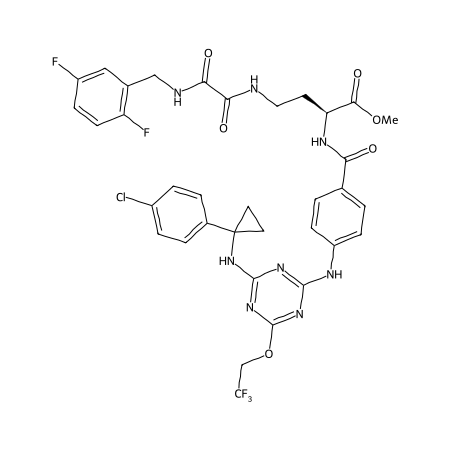 COC(=O)[C@H](CCNC(=O)C(=O)NCc1cc(F)ccc1F)NC(=O)c1ccc(Nc2nc(NC3(c4ccc(Cl)cc4)CC3)nc(OCC(F)(F)F)n2)cc1